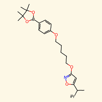 CC(C)C(C)c1cc(OCCCCCOc2ccc(B3OC(C)(C)C(C)(C)O3)cc2)no1